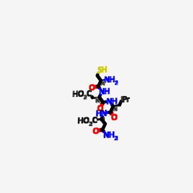 CC(C)C[C@H](NC(=O)[C@H](CC(=O)O)NC(=O)[C@@H](N)CS)C(=O)N[C@@H](CC(N)=O)C(=O)O